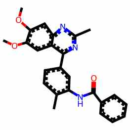 COc1cc2nc(C)nc(-c3ccc(C)c(NC(=O)c4ccccc4)c3)c2cc1OC